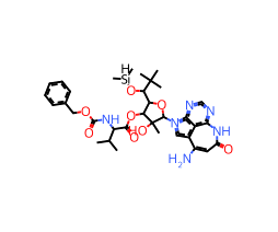 CC(C)C(NC(=O)OCc1ccccc1)C(=O)OC1C(C(O[SiH](C)C)C(C)(C)C)OC(n2cc3c4c(ncnc42)NC(=O)C=C3N)C1(C)O